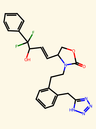 O=C1OCC(C=CC(O)C(F)(F)c2ccccc2)N1CCc1ccccc1Cc1nnn[nH]1